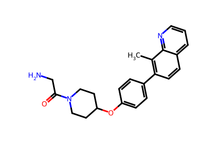 Cc1c(-c2ccc(OC3CCN(C(=O)CN)CC3)cc2)ccc2cccnc12